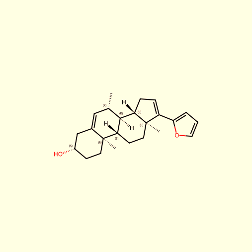 C[C@H]1C=C2C[C@@H](O)CC[C@]2(C)[C@H]2CC[C@]3(C)C(c4ccco4)=CC[C@H]3[C@H]12